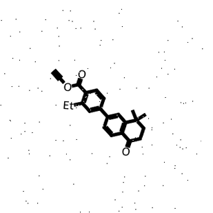 C#COC(=O)c1ccc(-c2ccc3c(c2)C(C)(C)CCC3=O)cc1CC